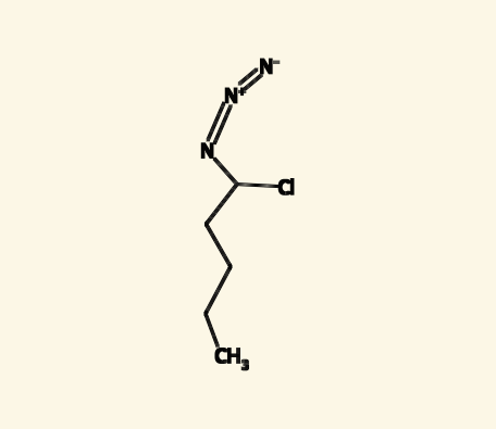 CCCCC(Cl)N=[N+]=[N-]